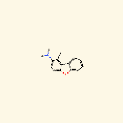 Cc1c(N(C)C)ccc2oc3ccccc3c12